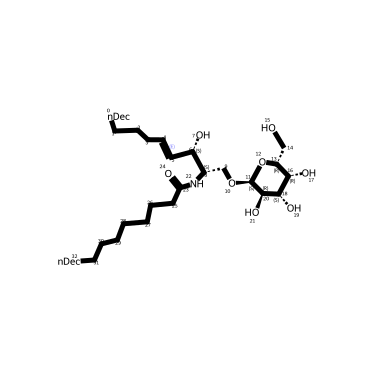 CCCCCCCCCCCCC/C=C/[C@H](O)[C@H](CO[C@H]1O[C@H](CO)[C@H](O)[C@H](O)[C@H]1O)NC(=O)CCCCCCCCCCCCCCCCC